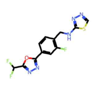 Fc1cc(-c2nnc(C(F)F)o2)ccc1CNc1nncs1